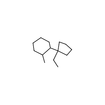 CCC1(C2CCCC[C]2C)CCCC1